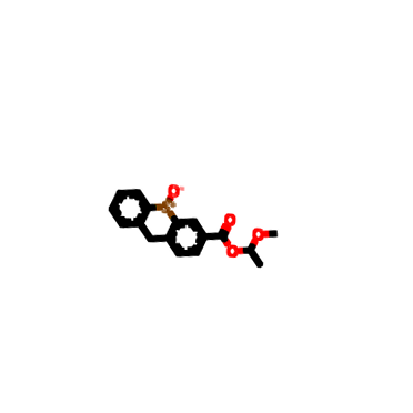 COC(C)OC(=O)c1ccc2c(c1)[S+]([O-])c1ccccc1C2